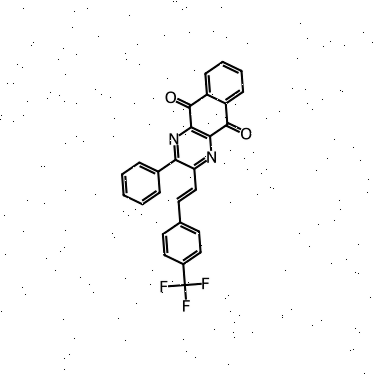 O=C1c2ccccc2C(=O)c2nc(-c3ccccc3)c(/C=C/c3ccc(C(F)(F)F)cc3)nc21